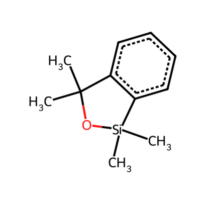 CC1(C)O[Si](C)(C)c2ccccc21